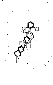 O=C1c2cnc(Nc3cc4c(cc3F)CCNC4)nc2OCN1c1c(Cl)cccc1Cl